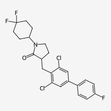 O=C1C(Cc2c(Cl)cc(-c3ccc(F)cc3)cc2Cl)CCN1C1CCC(F)(F)CC1